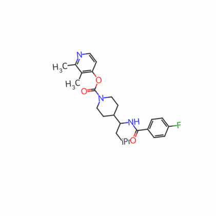 Cc1nccc(OC(=O)N2CCC(C(CC(C)C)NC(=O)c3ccc(F)cc3)CC2)c1C